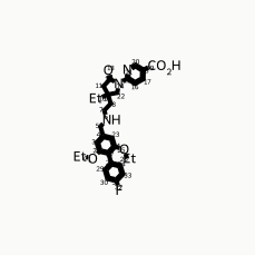 CCOc1cc(CNCCC2(CC)CC(=O)N(c3ccc(C(=O)O)cn3)C2)cc(OCC)c1-c1ccc(F)cc1